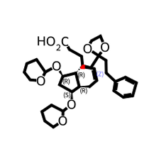 O=C(O)CCC/C=C\C[C@@H]1[C@@H](CCC2(CCc3ccccc3)OCCO2)[C@H](OC2CCCCO2)C[C@@H]1OC1CCCCO1